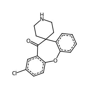 O=C1c2cc(Cl)ccc2Oc2ccccc2C12CCNCC2